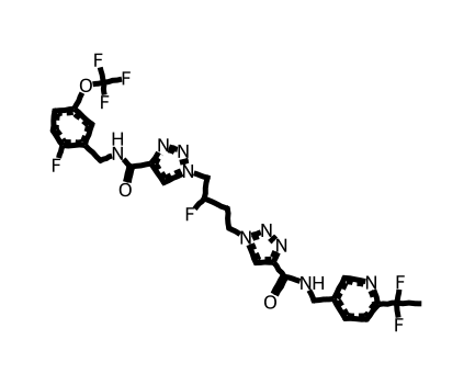 CC(F)(F)c1ccc(CNC(=O)c2cn(CCC(F)Cn3cc(C(=O)NCc4cc(OC(F)(F)F)ccc4F)nn3)nn2)cn1